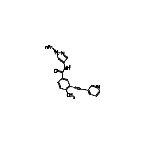 CCCn1cc(NC(=O)c2ccc(C)c(C#Cc3cccnc3)c2)cn1